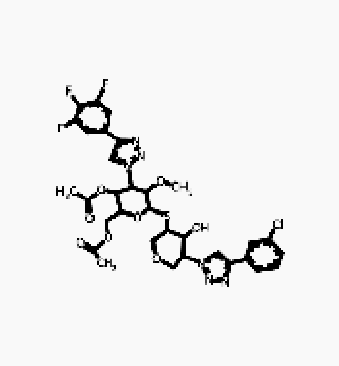 COC1C(SC2COCC(n3cc(-c4cccc(Cl)c4)nn3)C2O)OC(COC(C)=O)C(OC(C)=O)C1n1cc(-c2cc(F)c(F)c(F)c2)nn1